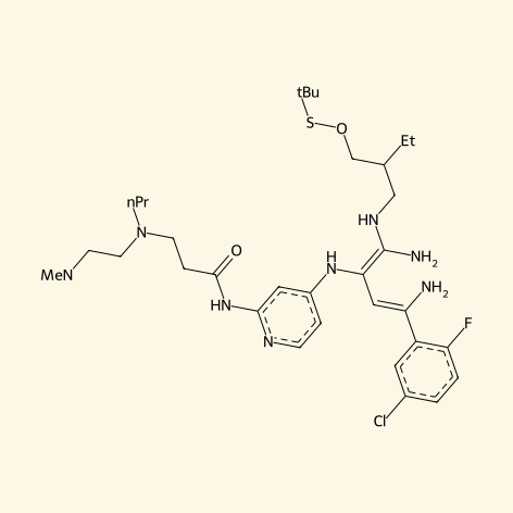 CCCN(CCNC)CCC(=O)Nc1cc(NC(/C=C(\N)c2cc(Cl)ccc2F)=C(/N)NCC(CC)COSC(C)(C)C)ccn1